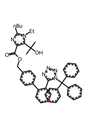 CCCCc1nc(C(=O)OCc2ccc(-c3ccccc3-c3nnnn3C(c3ccccc3)(c3ccccc3)c3ccccc3)cc2)c(C(C)(C)O)n1CC